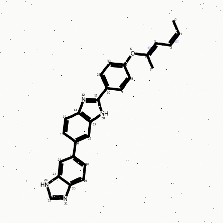 C/C=C\C=C(/C)Oc1ccc(-c2nc3ccc(-c4ccc5nc[nH]c5c4)cc3[nH]2)cc1